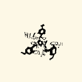 C=Cc1ccc(C(=O)Nc2cc(NC(=O)c3ccc(C=C)cc3C(=O)O)cc(NC(=O)c3cc(C=C)ccc3C(=O)O)c2)c(C(=O)O)c1